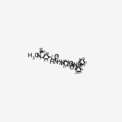 CN(Cc1ccc(CCC(=O)NCCN2CCC(OC(=O)Nc3ccccc3-c3ccccc3)CC2)cc1)C1CC1